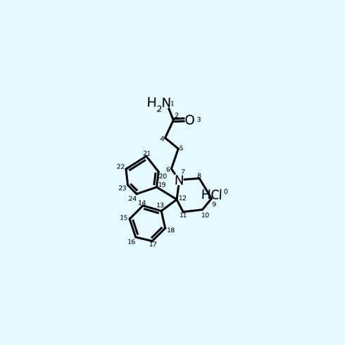 Cl.NC(=O)CCCN1CCCCC1(c1ccccc1)c1ccccc1